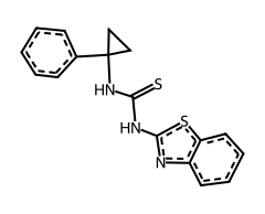 S=C(Nc1nc2ccccc2s1)NC1(c2ccccc2)CC1